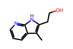 Cc1c(CCO)[nH]c2ncccc12